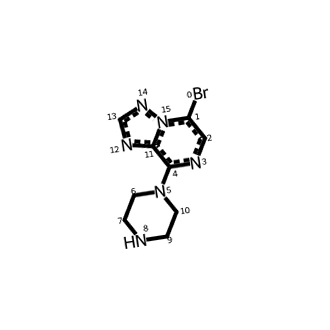 Brc1cnc(N2CCNCC2)c2ncnn12